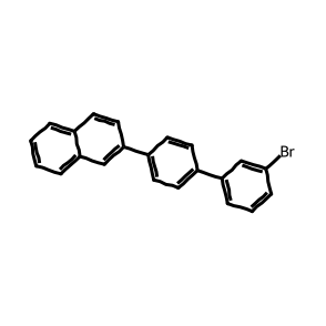 Brc1cccc(-c2ccc(-c3ccc4ccccc4c3)cc2)c1